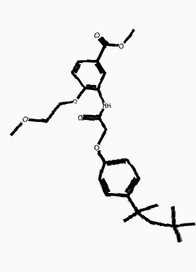 COCCOc1ccc(C(=O)OC)cc1NC(=O)COc1ccc(C(C)(C)CC(C)(C)C)cc1